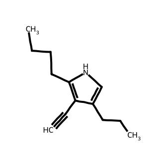 C#Cc1c(CCC)c[nH]c1CCCC